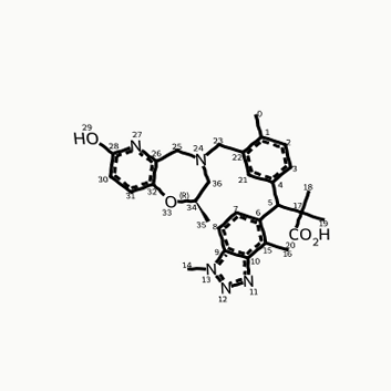 Cc1ccc(C(c2ccc3c(nnn3C)c2C)C(C)(C)C(=O)O)cc1CN1Cc2nc(O)ccc2O[C@H](C)C1